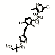 Cc1ncc(Cl)cc1S(=O)(=O)Nc1ccc(F)c(C#Cc2cnc(NC(C)(C)CO)nc2)c1F